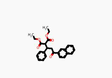 CCOC(=O)C(C(=O)OCC)C(CC(=O)c1ccc2ccccc2c1)c1ccccc1